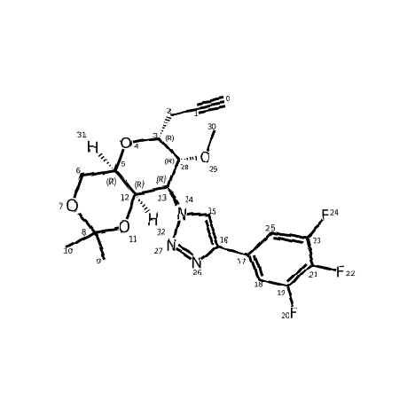 C#CC[C@H]1O[C@@H]2COC(C)(C)O[C@@H]2[C@H](n2cc(-c3cc(F)c(F)c(F)c3)nn2)[C@H]1OC